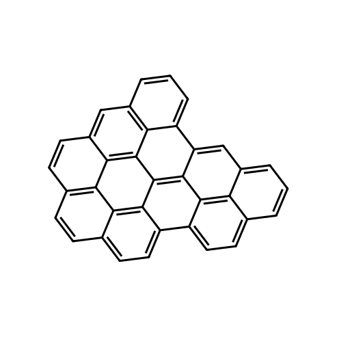 c1cc2ccc3c4ccc5ccc6ccc7cc8cccc9c%10cc(c1)c2c3c%10c1c4c5c6c7c1c89